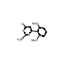 COc1cccc(OC)c1-c1cc(Cl)nc(N)n1